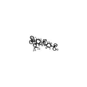 COC(=O)c1ccc(NC(=O)c2ccc([N+](=O)[O-])c(OC(C)C)c2)cc1